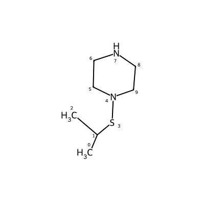 CC(C)SN1CCNCC1